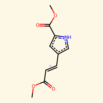 COC(=O)/C=C/c1c[nH]c(C(=O)OC)c1